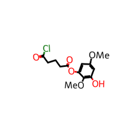 COc1cc(O)c(OC)c(OC(=O)CCCC(=O)Cl)c1